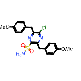 COc1ccc(Cc2nc(S(N)(=O)=O)c(Cc3ccc(OC)cc3)nc2Cl)cc1